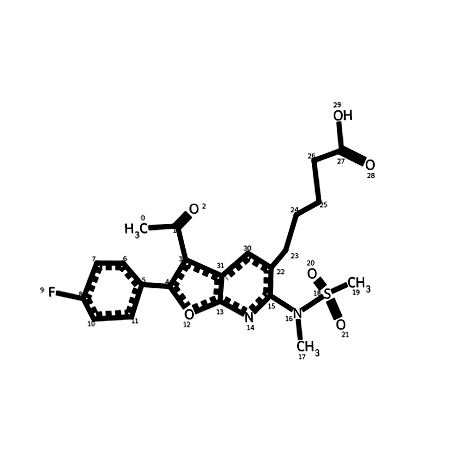 CC(=O)c1c(-c2ccc(F)cc2)oc2nc(N(C)S(C)(=O)=O)c(CCCCC(=O)O)cc12